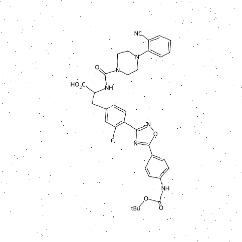 CC(C)(C)OC(=O)Nc1ccc(-c2nc(-c3ccc(CC(NC(=O)N4CCN(c5ccccc5C#N)CC4)C(=O)O)cc3F)no2)cc1